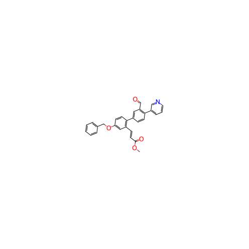 COC(=O)C=Cc1cc(OCc2ccccc2)ccc1-c1ccc(-c2cccnc2)c(C=O)c1